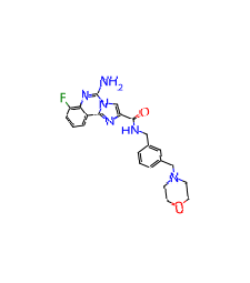 Nc1nc2c(F)cccc2c2nc(C(=O)NCc3cccc(CN4CCOCC4)c3)cn12